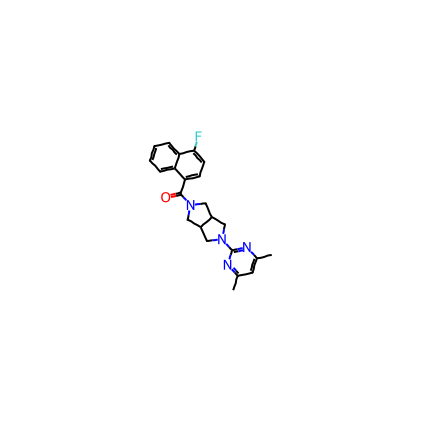 Cc1cc(C)nc(N2CC3CN(C(=O)c4ccc(F)c5ccccc45)CC3C2)n1